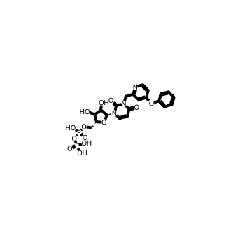 O=c1ccn([C@@H]2O[C@H](COP(=O)(O)OP(=O)(O)O)C(O)C2O)c(=O)n1Cc1cc(Oc2ccccc2)ccn1